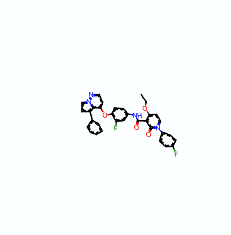 CCOc1ccn(-c2ccc(F)cc2)c(=O)c1C(=O)Nc1ccc(Oc2ccnn3ccc(-c4ccccc4)c23)c(F)c1